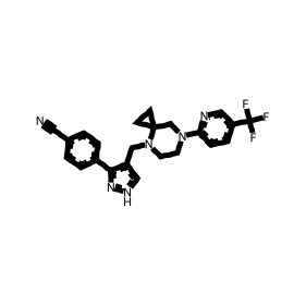 N#Cc1ccc(-c2n[nH]cc2CN2CCN(c3ccc(C(F)(F)F)cn3)CC23CC3)cc1